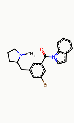 CN1CCCC1Cc1cc(Br)cc(C(=O)n2ccc3ccccc32)c1